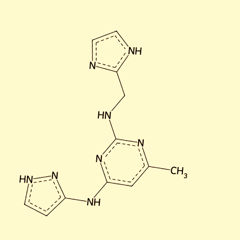 Cc1cc(Nc2cc[nH]n2)nc(NCc2ncc[nH]2)n1